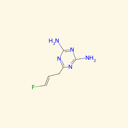 Nc1nc(N)nc(CC=CF)n1